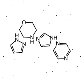 C1COCCN1.c1c[nH]cn1.c1cn[nH]c1.c1cnccn1